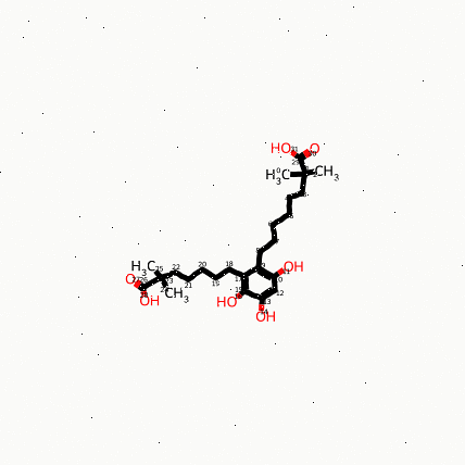 CC(C)(CCCCCCc1c(O)cc(O)c(O)c1CCCCCC(C)(C)C(=O)O)C(=O)O